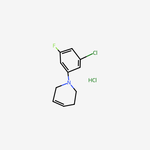 Cl.Fc1cc(Cl)cc(N2CC=CCC2)c1